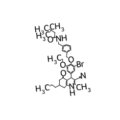 CCCC1CC(=O)C2=C(C1)NC(C)=C(C#N)C2c1cc(Br)c(OCc2cccc(CNC(=O)CC(C)(C)C)c2)c(OCC)c1